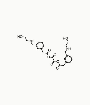 O=C(Cc1cccc(CNCCO)c1)OC(=O)C(=O)OC(=O)Cc1cccc(CNCCO)c1